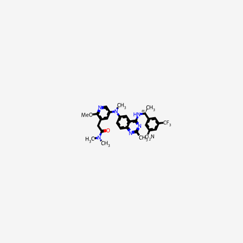 COc1ncc(N(C)c2ccc3nc(C)nc(N[C@H](C)c4cc([N+](=O)[O-])cc(C(F)(F)F)c4)c3c2)cc1CC(=O)N(C)C